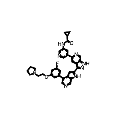 O=C(Nc1cncc(-c2cc3c(-c4cc5c(-c6cc(F)cc(OCCN7CCCC7)c6)cncc5[nH]4)n[nH]c3cn2)c1)C1CC1